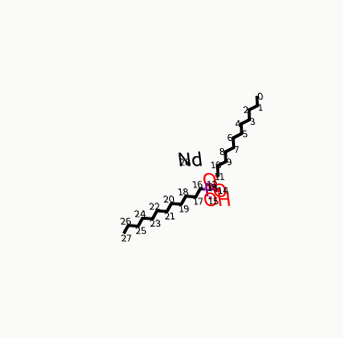 CCCCCCCCCCCCOP(=O)(O)CCCCCCCCCCCC.[Nd]